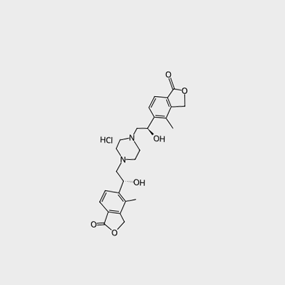 Cc1c([C@@H](O)CN2CCN(C[C@H](O)c3ccc4c(c3C)COC4=O)CC2)ccc2c1COC2=O.Cl